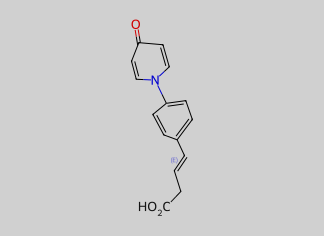 O=C(O)C/C=C/c1ccc(-n2ccc(=O)cc2)cc1